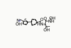 C[C@@H](O)[C@H](NC(=O)c1ccc(-c2ccc(/C=N\O)s2)cc1)C(=O)NO